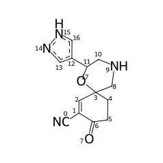 N#CC1=CC2(CCC1=O)CNCC(c1cn[nH]c1)O2